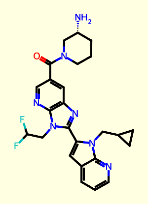 N[C@@H]1CCCN(C(=O)c2cnc3c(c2)nc(-c2cc4cccnc4n2CC2CC2)n3CC(F)F)C1